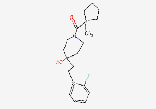 CC1(C(=O)N2CCC(O)(CCc3ccccc3F)CC2)CCCC1